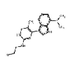 CC1=C(c2c[nH]c3c(P(C)C)cccc23)N=C(NCCO)NC1